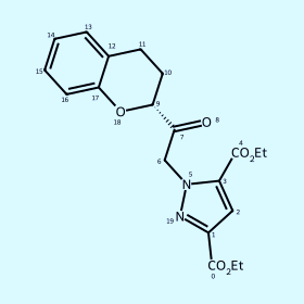 CCOC(=O)c1cc(C(=O)OCC)n(CC(=O)[C@H]2CCc3ccccc3O2)n1